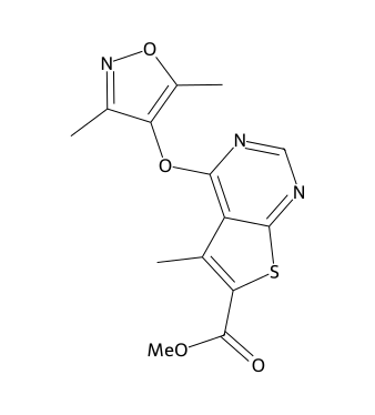 COC(=O)c1sc2ncnc(Oc3c(C)noc3C)c2c1C